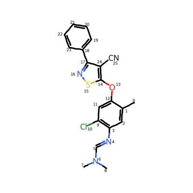 Cc1cc(N=CN(C)C)c(Cl)cc1Oc1snc(-c2ccccc2)c1C#N